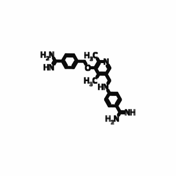 Cc1ncc(CNc2ccc(C(=N)N)cc2)c(C)c1OCc1ccc(C(=N)N)cc1